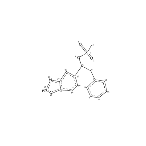 CS(=O)(=O)OC(Cc1ccccc1)c1ccc2c[nH]nc2c1